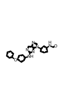 O=CNc1cccc(-n2cnc3cnc(Nc4ccc(Oc5ccccc5)cc4)nc32)c1